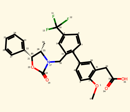 COc1ccc(-c2ccc(C(F)(F)F)cc2CN2C(=O)O[C@H](c3ccccc3)[C@@H]2C)cc1CC(=O)O